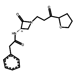 O=C(Cc1ccccc1)N[C@H]1CN(CCC(=O)C2CCCO2)C1=O